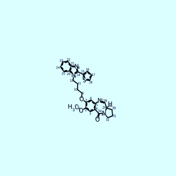 COc1cc2c(cc1OCCCCn1c(-c3cccs3)nc3ccccc31)N=C[C@@H]1CCCN1C2=O